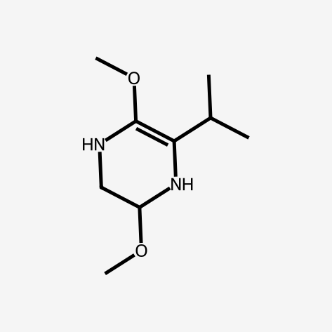 COC1=C(C(C)C)NC(OC)CN1